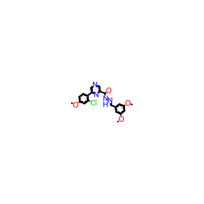 COc1cc(C=NNC(=O)c2cncc(-c3ccc(OC)cc3Cl)n2)cc(OC)c1